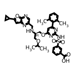 Cc1cccc(C)c1-c1cc(OC[C@@H](COC(C)C)NCc2cnc3oc(C4CC4)cc3n2)nc(NS(=O)(=O)c2cccc(C(=O)O)c2)n1